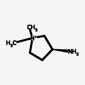 C[N+]1(C)CC[C@H](N)C1